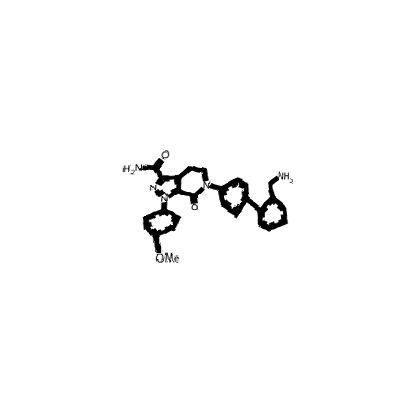 COc1ccc(-n2nc(C(N)=O)c3c2C(=O)N(c2ccc(-c4ccccc4CN)cc2)CC3)cc1